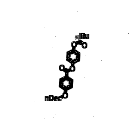 CCCCCCCCCCOc1ccc(C(=O)Oc2ccc(OC(=O)[C@@H](C)CC)cc2)cc1